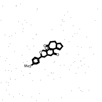 CSc1ccc(C2CC3CC(=O)C4=C(C(=O)CCC5CCC=C45)C3(C)CO2)cc1